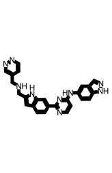 c1cc(CNCc2cc3ccc(-c4nccc(Nc5ccc6[nH]ncc6c5)n4)cc3[nH]2)cnn1